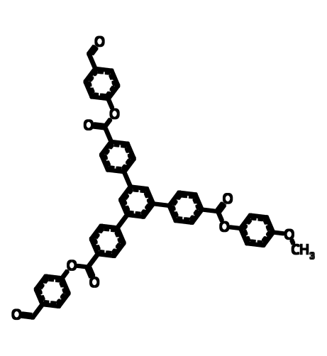 COc1ccc(OC(=O)c2ccc(-c3cc(-c4ccc(C(=O)Oc5ccc(C=O)cc5)cc4)cc(-c4ccc(C(=O)Oc5ccc(C=O)cc5)cc4)c3)cc2)cc1